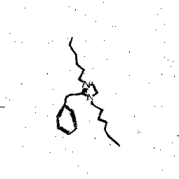 CCCCCCn1cc[n+](CCCCCC)c1Cc1ccccc1